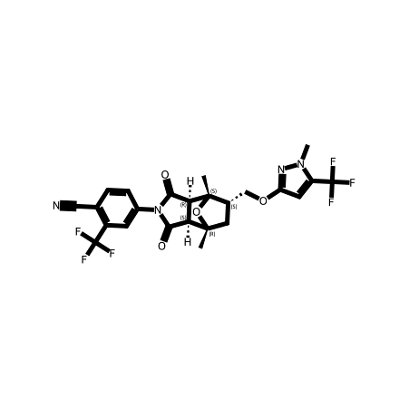 Cn1nc(OC[C@@H]2C[C@@]3(C)O[C@]2(C)[C@@H]2C(=O)N(c4ccc(C#N)c(C(F)(F)F)c4)C(=O)[C@@H]23)cc1C(F)(F)F